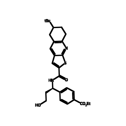 CCOC(=O)c1ccc([C@@H](CCO)NC(=O)c2cc3cc4c(nc3s2)CCC(C(C)(C)C)C4)cc1